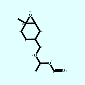 CC(OC=O)OCC1CCC2(C)OC2C1